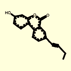 CCC#Cc1ccc2c(c1)c(=O)oc1cc(O)ccc12